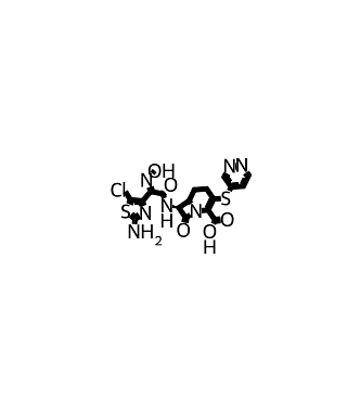 Nc1nc(/C(=N/O)C(=O)N[C@@H]2C(=O)N3C(C(=O)O)=C(Sc4ccnnc4)CCC23)c(Cl)s1